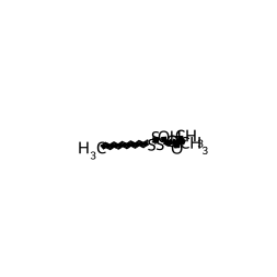 CCCCCCCCCCCCSC(=S)SC(O)COC(=O)C(C)C